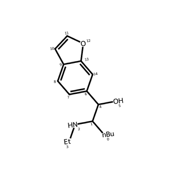 CCCCC(NCC)C(O)c1ccc2ccoc2c1